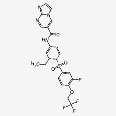 CCc1cc(NC(=O)c2cnc3nccn3c2)ccc1S(=O)(=O)c1ccc(OCC(F)(F)F)c(F)c1